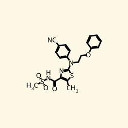 Cc1sc(N(CCOc2ccccc2)c2ccc(C#N)cc2)nc1C(=O)NS(C)(=O)=O